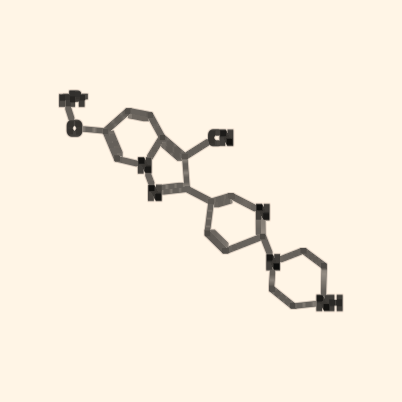 CCCOc1ccc2c(C#N)c(-c3ccc(N4CCNCC4)nc3)nn2c1